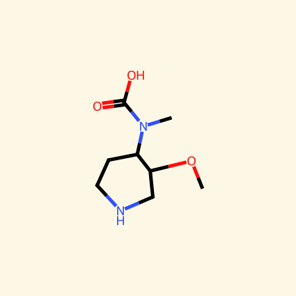 COC1CNCCC1N(C)C(=O)O